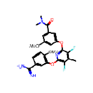 COc1cc(Oc2nc(Oc3cc(C(=N)N)ccc3OC)c(F)c(C)c2F)cc(C(=O)N(C)C)c1